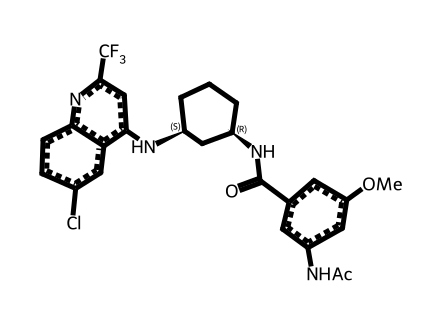 COc1cc(NC(C)=O)cc(C(=O)N[C@@H]2CCC[C@H](Nc3cc(C(F)(F)F)nc4ccc(Cl)cc34)C2)c1